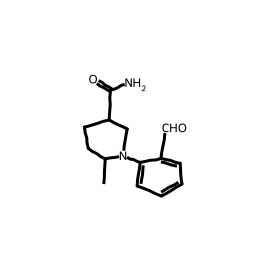 CC1CCC(C(N)=O)CN1c1ccccc1C=O